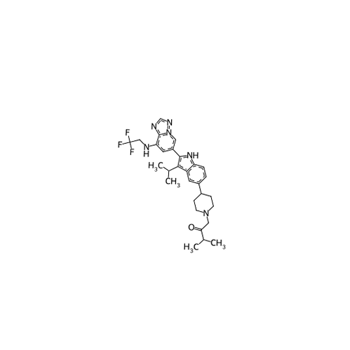 CC(C)C(=O)CN1CCC(c2ccc3[nH]c(-c4cc(NCC(F)(F)F)c5ncnn5c4)c(C(C)C)c3c2)CC1